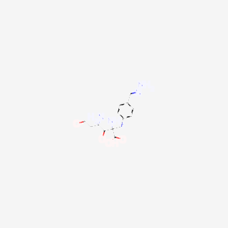 NN=Cc1ccc(CC(N)(C(=O)O)C(=O)C(N)CC=O)cc1